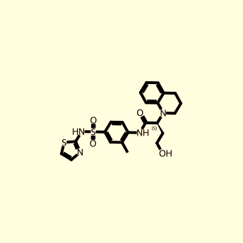 Cc1cc(S(=O)(=O)Nc2nccs2)ccc1NC(=O)[C@H](CCO)N1CCCc2ccccc21